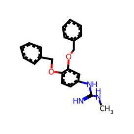 CNC(=N)Nc1ccc(OCc2ccccc2)c(OCc2ccccc2)c1